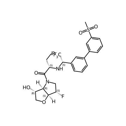 CC(C)C[C@H](N[C@@H](c1cccc(-c2cccc(S(C)(=O)=O)c2)c1)C(F)(F)F)C(=O)N1C[C@H](F)[C@H]2OC[C@H](O)[C@H]21